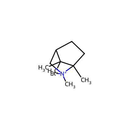 CC[N+]1(C)CC2CCC1(C)C2(C)C